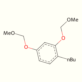 CCCCc1ccc(OCOC)cc1OCOC